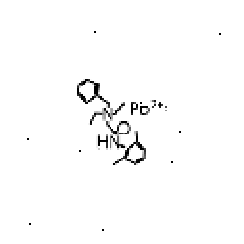 CC[N+](CC)(CC(=O)Nc1c(C)cccc1C)Cc1ccccc1.[Pb+2]